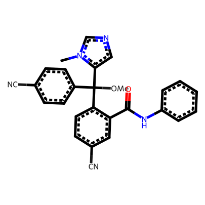 COC(c1ccc(C#N)cc1)(c1ccc(C#N)cc1C(=O)Nc1ccccc1)c1cncn1C